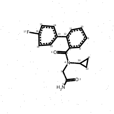 NC(=O)CN(C(=O)c1ccccc1-c1ccc(F)cc1)C1CC1